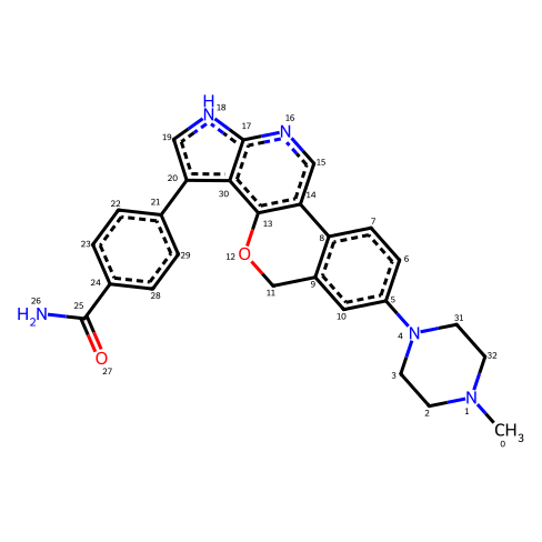 CN1CCN(c2ccc3c(c2)COc2c-3cnc3[nH]cc(-c4ccc(C(N)=O)cc4)c23)CC1